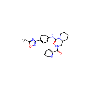 O=C(NCC1CCCCN1C(=O)Nc1ccc(-c2noc(C(F)(F)F)n2)cc1)c1ccccn1